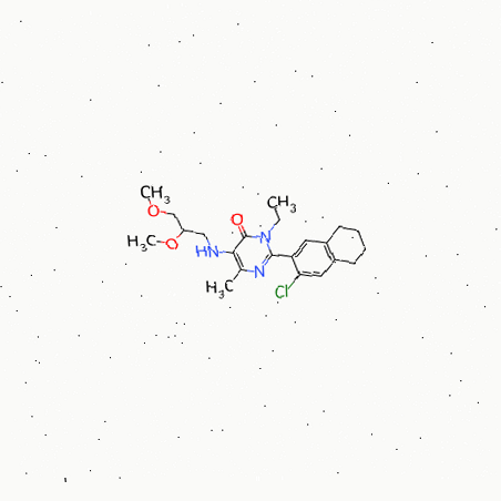 CCn1c(-c2cc3c(cc2Cl)CCCC3)nc(C)c(NCC(COC)OC)c1=O